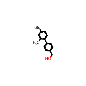 CC(C)(C)c1ccc(-c2ccc(CO)cc2)c(C(F)(F)F)c1